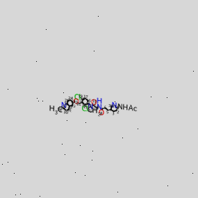 CC(=O)Nc1ccc(C=CC(=O)NCC(=O)N(C)c2ccc(Cl)c(COc3ccc4nc(C)ccc4c3)c2Cl)cn1